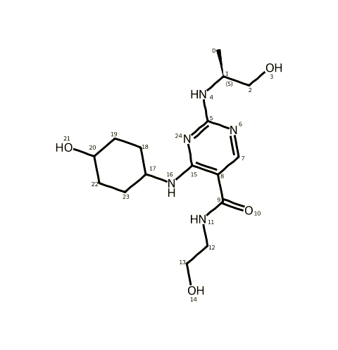 C[C@@H](CO)Nc1ncc(C(=O)NCCO)c(NC2CCC(O)CC2)n1